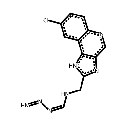 N=N/N=C\NCc1nc2cnc3ccc(Cl)cc3c2[nH]1